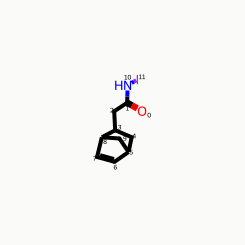 O=C(CC1CC2C=CC1C2)NI